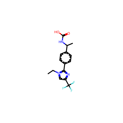 CCn1cc(C(F)(F)F)nc1-c1ccc(C(C)NC(=O)O)cc1